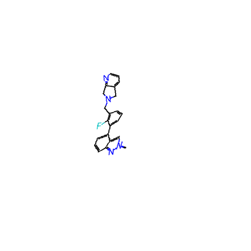 Cn1cc2c(-c3cccc(CN4Cc5cccnc5C4)c3F)cccc2n1